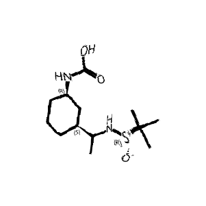 CC(N[S@@+]([O-])C(C)(C)C)[C@H]1CCC[C@@H](NC(=O)O)C1